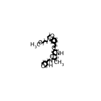 COCCCN1CCOc2ccc(CO[C@@H]3CC[C@@H](CC(C)C(=O)NCC4CCOCC4)NC3)cc21